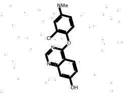 CNc1ccc(Oc2ncnc3cc(O)ccc23)c(Cl)c1